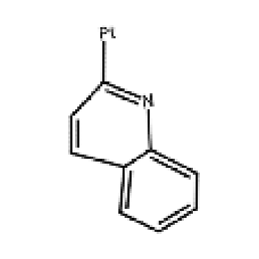 [Pt][c]1ccc2ccccc2n1